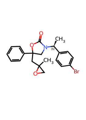 C[C@@H](c1ccc(Br)cc1)N1CC(CC2(C)CO2)(c2ccccc2)OC1=O